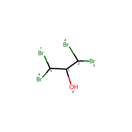 OC(C(Br)Br)C(Br)Br